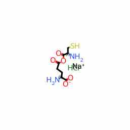 Cl.N[C@@H](CCC(=O)OC(=O)[C@@H](N)CS)C(=O)[O-].[Na+]